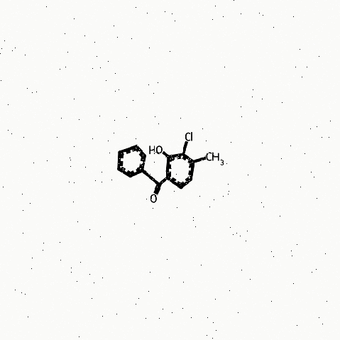 Cc1ccc(C(=O)c2ccccc2)c(O)c1Cl